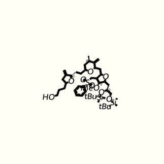 C=C1C(CC2OC(C[C@@H](CO[Si](C)(C)C(C)(C)C)O[Si](C)(C)C(C)(C)C)[C@H](OC)C2CS(=O)(=O)c2ccccc2)OC(CC[C@@H]2OC(CCCO)CC2=C)C[C@H]1C